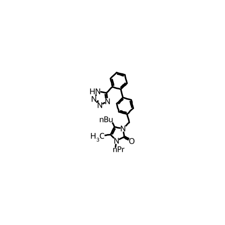 CCCCc1c(C)n(CCC)c(=O)n1Cc1ccc(-c2ccccc2-c2nnn[nH]2)cc1